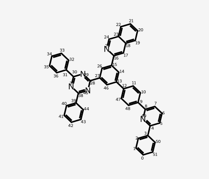 c1ccc(-c2cccc(-c3ccc(-c4cc(-c5cc6ccccc6cn5)cc(-c5nc(-c6ccccc6)nc(-c6ccccc6)n5)c4)cc3)n2)cc1